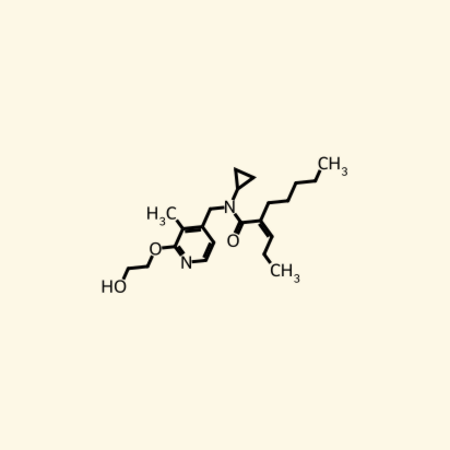 CC/C=C(/CCCCC)C(=O)N(Cc1ccnc(OCCO)c1C)C1CC1